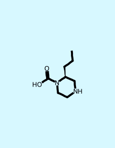 CCC[C@H]1CNCCN1C(=O)O